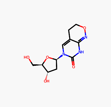 O=C1NC2=NOCCC2=CN1[C@H]1C[C@H](O)[C@@H](CO)O1